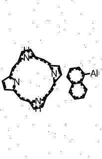 C1=Cc2cc3ccc(cc4nc(cc5ccc(cc1n2)[nH]5)C=C4)[nH]3.[Al][c]1cccc2ccccc12